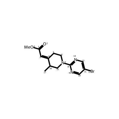 COC(=O)C=C1CCN(c2ncc(Br)cn2)CC1C